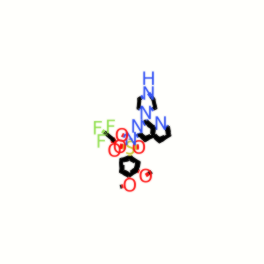 COc1ccc(S(=O)(=O)N(OC(=O)C(F)(F)F)c2cc3cccnc3c(N3CCNCC3)n2)cc1OC